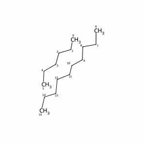 CCCCCC.CCCCCCCCCC